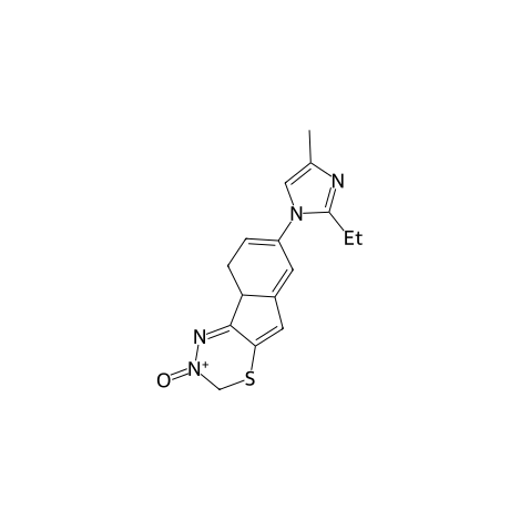 CCc1nc(C)cn1C1=CCC2C(=C1)C=C1SC[N+](=O)N=C12